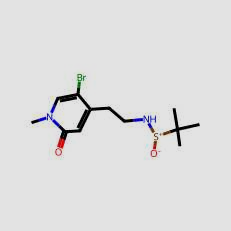 Cn1cc(Br)c(CCN[S+]([O-])C(C)(C)C)cc1=O